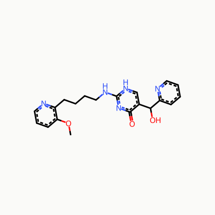 COc1cccnc1CCCCNc1nc(=O)c(C(O)c2ccccn2)c[nH]1